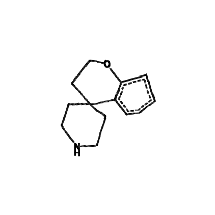 c1ccc2c(c1)OCCC21CCNCC1